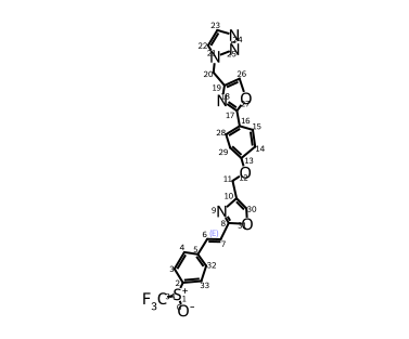 [O-][S+](c1ccc(/C=C/c2nc(COc3ccc(-c4nc(Cn5ccnn5)co4)cc3)co2)cc1)C(F)(F)F